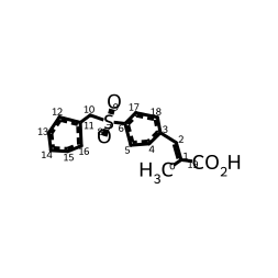 CC(=Cc1ccc(S(=O)(=O)Cc2ccccc2)cc1)C(=O)O